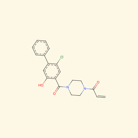 C=CC(=O)N1CCN(C(=O)c2cc(Cl)c(-c3ccccc3)cc2O)CC1